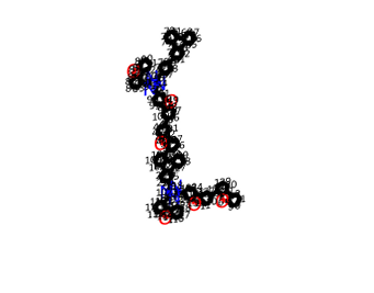 c1ccc2c(c1)oc1c(-c3ccc4oc5cc(-c6nc(-c7ccc8c(c7)c7ccccc7c7c(-c9cccc%10c9oc9ccc(-c%11ccc%12oc%13cc(-c%14nc(-c%15ccc(-c%16ccc%17c%18ccccc%18c%18ccccc%18c%17c%16)cc%15)nc(-c%15cccc%16oc%17ccccc%17c%15%16)n%14)ccc%13c%12c%11)cc9%10)cccc87)nc(-c7cccc8oc9ccccc9c78)n6)ccc5c4c3)cccc12